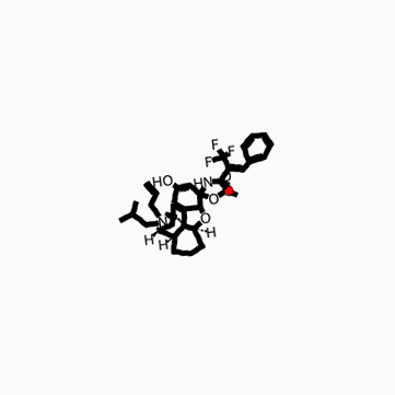 C=CC[N+]1(CC(C)C)CC[C@@]23C4=C5C[C@@H]1[C@@H]2CCC[C@@H]3OC4C(NC(=O)C(=Cc1ccccc1)C(F)(F)F)(OC(C)=O)C=C5O